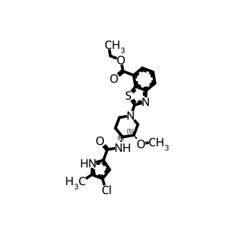 CCOC(=O)c1cccc2nc(N3CC[C@@H](NC(=O)c4cc(Cl)c(C)[nH]4)[C@@H](OC)C3)sc12